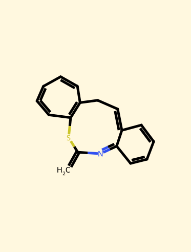 C=C1/N=c2/cccc/c2=C/CC2=C(C=C=CC=C2)S1